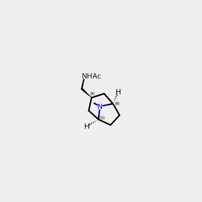 CC(=O)NC[C@H]1C[C@H]2CC[C@@H](C1)N2C